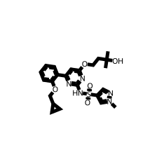 Cn1cc(S(=O)(=O)Nc2nc(OCCC(C)(C)O)cc(-c3ccccc3OCC3CC3)n2)cn1